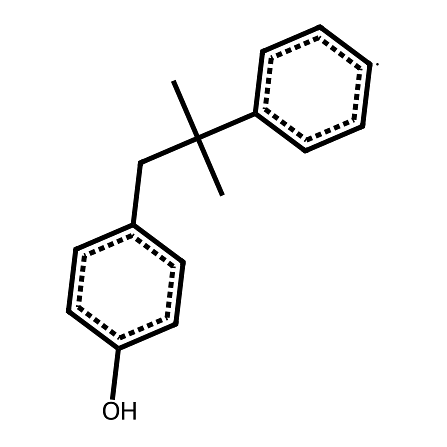 CC(C)(Cc1ccc(O)cc1)c1cc[c]cc1